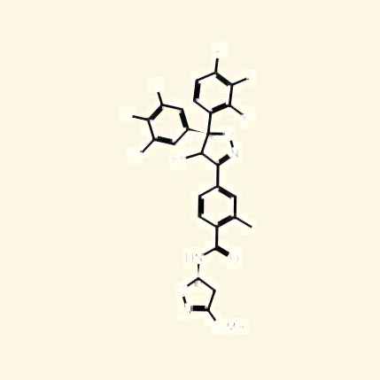 CCC1C(c2ccc(C(=O)N[C@H]3CC(OC)=NO3)c(C)c2)=NO[C@@]1(c1cc(Cl)c(F)c(Cl)c1)c1ccc(F)c(F)c1F